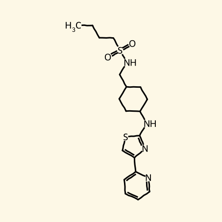 CCCCS(=O)(=O)NCC1CCC(Nc2nc(-c3ccccn3)cs2)CC1